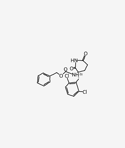 O=C1CC[C@@](Cc2c(Cl)cccc2Cl)(NC(=O)OCc2ccccc2)C(=O)N1